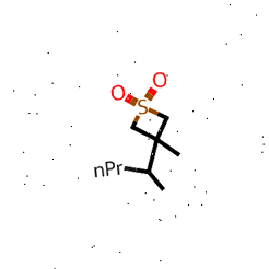 CCCC(C)C1(C)CS(=O)(=O)C1